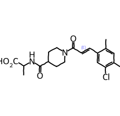 Cc1cc(I)c(Cl)cc1/C=C/C(=O)N1CCC(C(=O)NC(C)C(=O)O)CC1